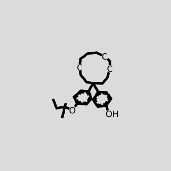 CCC(C)(C)Oc1ccc(C2(c3ccc(O)cc3)CCCCCCCCCCC2)cc1